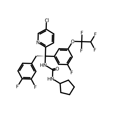 O=C(NC1CCCC1)N[C@](Cc1ccc(F)c(F)c1)(c1cc(F)cc(OC(F)(F)C(F)F)c1)c1ccc(Cl)cn1